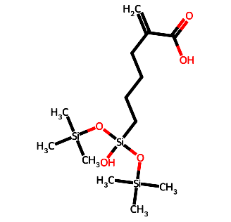 C=C(CCCC[Si](O)(O[Si](C)(C)C)O[Si](C)(C)C)C(=O)O